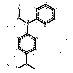 CC(C)c1ccc([SiH](CCl)c2ccccc2)cc1